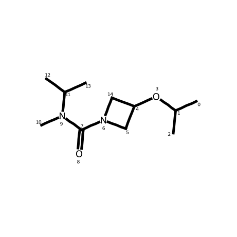 CC(C)OC1CN(C(=O)N(C)C(C)C)C1